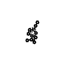 c1ccc(-c2ccc(-c3nc(-c4ccccc4)nc(-c4cccc5c4oc4c(-c6ccc7c(c6)oc6cccc(-n8c9ccccc9c9cc(-c%10ccccc%10)ccc98)c67)cccc45)n3)cc2)cc1